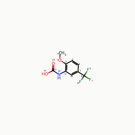 COc1ccc(C(F)(F)F)cc1NC(=O)O